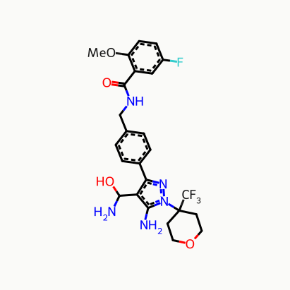 COc1ccc(F)cc1C(=O)NCc1ccc(-c2nn(C3(C(F)(F)F)CCOCC3)c(N)c2C(N)O)cc1